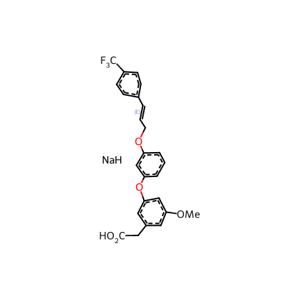 COc1cc(CC(=O)O)cc(Oc2cccc(OC/C=C/c3ccc(C(F)(F)F)cc3)c2)c1.[NaH]